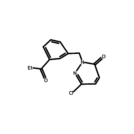 CCC(=O)c1cccc(Cn2nc(Cl)ccc2=O)c1